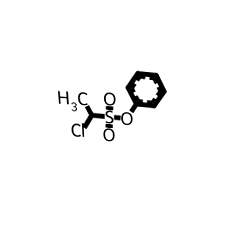 CC(Cl)S(=O)(=O)Oc1ccccc1